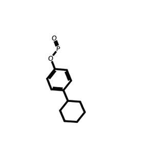 O=POc1ccc(C2CCCCC2)cc1